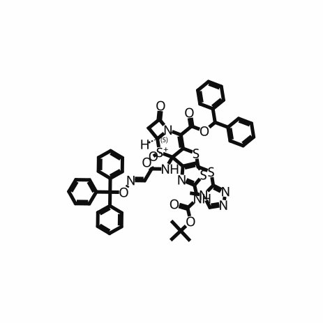 Cn1cnnc1SCSC1=C(C(=O)OC(c2ccccc2)c2ccccc2)N2C(=O)C[C@@H]2[S+]([O-])C1(NC(=O)C=NOC(c1ccccc1)(c1ccccc1)c1ccccc1)c1csc(NC(=O)OC(C)(C)C)n1